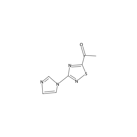 CC(=O)c1nc(-n2ccnc2)ns1